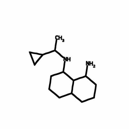 CC(NC1CCCC2CCCC(N)C21)C1CC1